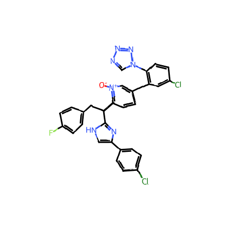 [O-][n+]1cc(-c2cc(Cl)ccc2-n2cnnn2)ccc1C(Cc1ccc(F)cc1)c1nc(-c2ccc(Cl)cc2)c[nH]1